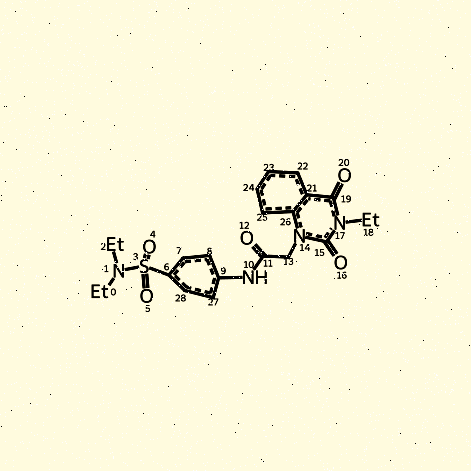 CCN(CC)S(=O)(=O)c1ccc(NC(=O)Cn2c(=O)n(CC)c(=O)c3ccccc32)cc1